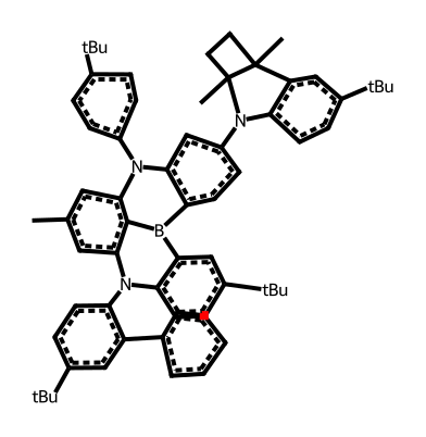 Cc1cc2c3c(c1)N(c1ccc(C(C)(C)C)cc1-c1ccccc1)c1ccc(C(C)(C)C)cc1B3c1ccc(N3c4ccc(C(C)(C)C)cc4C4(C)CCC34C)cc1N2c1ccc(C(C)(C)C)cc1